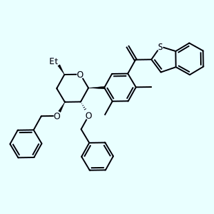 C=C(c1cc2ccccc2s1)c1cc([C@@H]2O[C@H](CC)C[C@H](OCc3ccccc3)[C@H]2OCc2ccccc2)c(C)cc1C